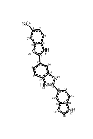 N#Cc1ccc2[nH]c(-c3ccc4[nH]c(-c5ccc6[nH]cnc6c5)nc4c3)nc2c1